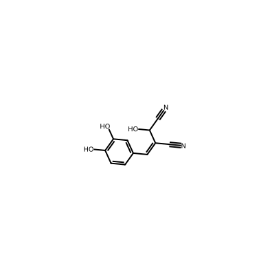 N#C/C(=C/c1ccc(O)c(O)c1)C(O)C#N